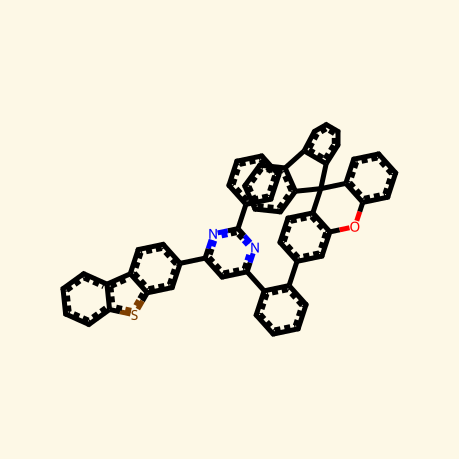 c1ccc(-c2nc(-c3ccc4c(c3)sc3ccccc34)cc(-c3ccccc3-c3ccc4c(c3)Oc3ccccc3C43c4ccccc4-c4ccccc43)n2)cc1